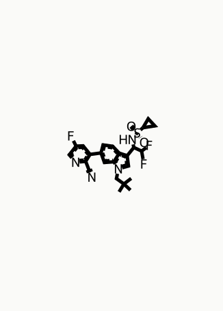 CC(C)(C)Cn1cc(C(NS(=O)(=O)C2CC2)C(F)F)c2ccc(-c3cc(F)cnc3C#N)cc21